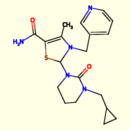 CC1=C(C(N)=O)SC(N2CCCN(CC3CC3)C2=O)N1Cc1cccnc1